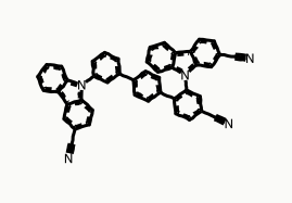 N#Cc1ccc(-c2ccc(-c3cccc(-n4c5ccccc5c5cc(C#N)ccc54)c3)cc2)c(-n2c3ccccc3c3ccc(C#N)cc32)c1